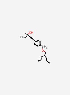 C=CCC(CC=C)CO[SiH2]c1ccc(C#CC(C)(O)CC(C)C)cc1